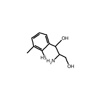 Cc1cccc(C(O)C(N)CO)c1S